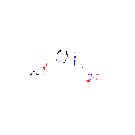 CC(C)(C)OC(=O)OCN1C=CC=C(C(=O)NCCO[N+](=O)[O-])C1